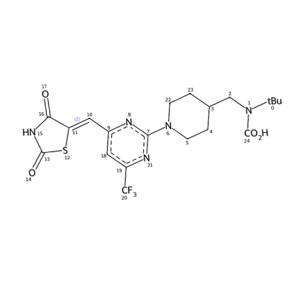 CC(C)(C)N(CC1CCN(c2nc(/C=C3\SC(=O)NC3=O)cc(C(F)(F)F)n2)CC1)C(=O)O